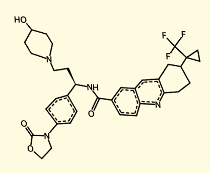 O=C(N[C@H](CCN1CCC(O)CC1)c1ccc(N2CCOC2=O)cc1)c1ccc2nc3c(cc2c1)CC(C1(C(F)(F)F)CC1)CC3